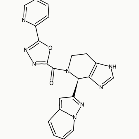 O=C(c1nnc(-c2ccccn2)o1)N1CCc2[nH]cnc2[C@H]1c1cc2ccccn2n1